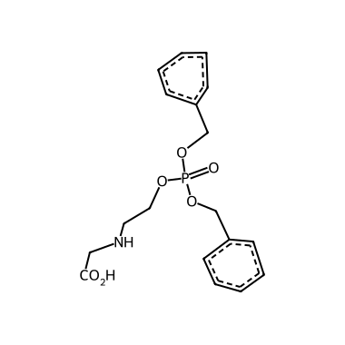 O=C(O)CNCCOP(=O)(OCc1ccccc1)OCc1ccccc1